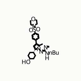 C=N/C(=N\n1c(C)c(-c2ccc(S(=O)(=O)N3CCOCC3)cc2)cc1[C@H]1CC[C@H](O)CC1)NCCCC